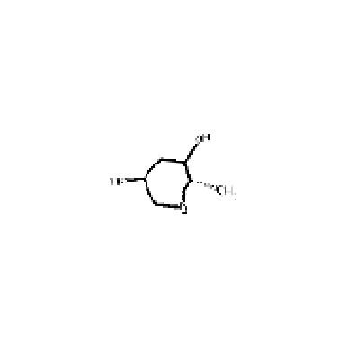 C[C@@H]1OC[C@@H](O)CC1O